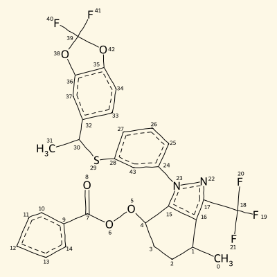 CC1CCC(OOC(=O)c2ccccc2)c2c1c(C(F)(F)F)nn2-c1cccc(SC(C)c2ccc3c(c2)OC(F)(F)O3)c1